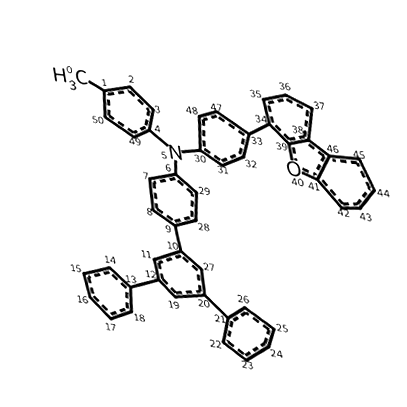 Cc1ccc(N(c2ccc(-c3cc(-c4ccccc4)cc(-c4ccccc4)c3)cc2)c2ccc(-c3cccc4c3oc3ccccc34)cc2)cc1